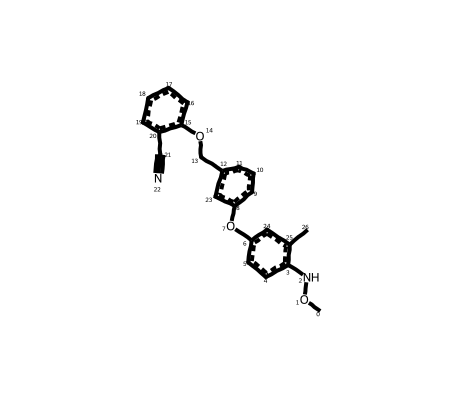 CONc1ccc(Oc2cccc(COc3ccccc3C#N)c2)cc1C